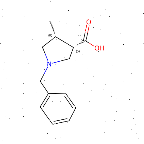 C[C@H]1CN(Cc2ccccc2)C[C@H]1C(=O)O